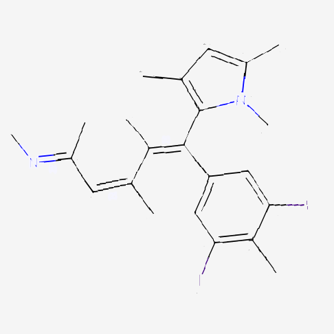 C/N=C(C)/C=C(C)\C(C)=C(/c1cc(I)c(C)c(I)c1)c1c(C)cc(C)n1C